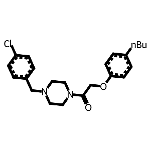 CCCCc1ccc(OCC(=O)N2CCN(Cc3ccc(Cl)cc3)CC2)cc1